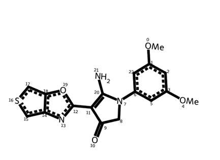 COc1cc(OC)cc(N2CC(=O)C(c3nc4cscc4o3)=C2N)c1